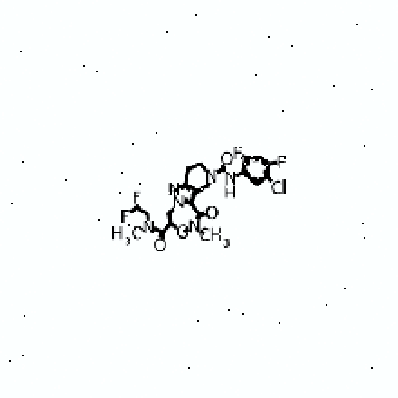 CN(CC(F)F)C(=O)C1Cn2nc3c(c2C(=O)N(C)O1)CN(C(=O)Nc1cc(Cl)c(F)cc1F)CC3